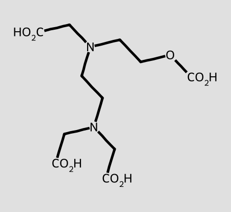 O=C(O)CN(CCOC(=O)O)CCN(CC(=O)O)CC(=O)O